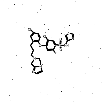 O=S(=O)(Nc1cscn1)c1cc(Cl)c(Oc2ccc(Cl)cc2CCCN2CCn3ccnc3C2)cc1F